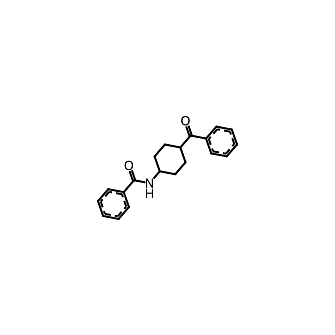 O=C(NC1CCC(C(=O)c2ccccc2)CC1)c1ccccc1